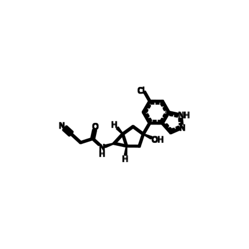 N#CCC(=O)N[C@H]1[C@@H]2C[C@](O)(c3cc(Cl)cc4[nH]ncc34)C[C@@H]21